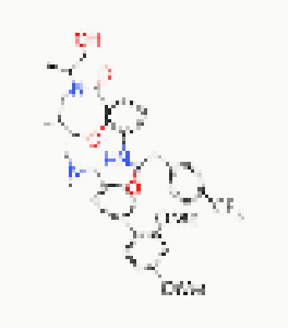 COc1ccc(-c2ccc(CN(C)C[C@H]3Oc4c(NC(=O)Cc5ccc(C(F)(F)F)cc5)cccc4C(=O)N([C@@H](C)CO)C[C@H]3C)cc2)c(OC)c1